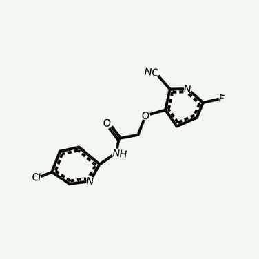 N#Cc1nc(F)ccc1OCC(=O)Nc1ccc(Cl)cn1